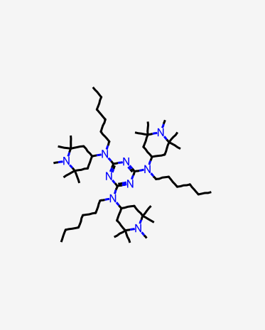 CCCCCCN(c1nc(N(CCCCCC)C2CC(C)(C)N(C)C(C)(C)C2)nc(N(CCCCCC)C2CC(C)(C)N(C)C(C)(C)C2)n1)C1CC(C)(C)N(C)C(C)(C)C1